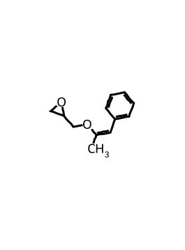 CC(=Cc1ccccc1)OCC1CO1